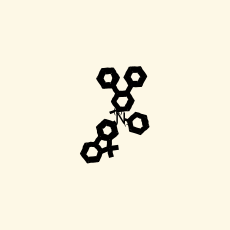 CC1(C)c2cc(N([C@@H]3C=CC=CC3)[C@@]3(C)C=CC(c4ccccc4)=C(c4ccccc4)C3)ccc2C2C=CC=CC21